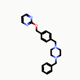 [c]1ccnc(OCc2ccc(CN3CCN(Cc4ccccc4)CC3)cc2)n1